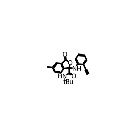 C#Cc1ccccc1NC1(C(=O)NC(C)(C)C)OC(=O)c2cc(C)ccc21